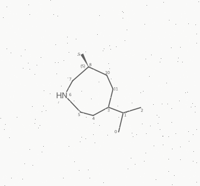 CC(C)C1CCNC[C@@H](C)CC1